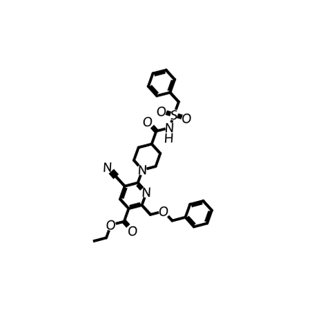 CCOC(=O)c1cc(C#N)c(N2CCC(C(=O)NS(=O)(=O)Cc3ccccc3)CC2)nc1COCc1ccccc1